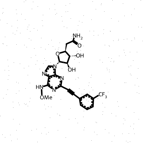 CONc1nc(C#Cc2cccc(C(F)(F)F)c2)nc2c1ncn2[C@@H]1O[C@@H](CC(N)=O)[C@H](O)[C@H]1O